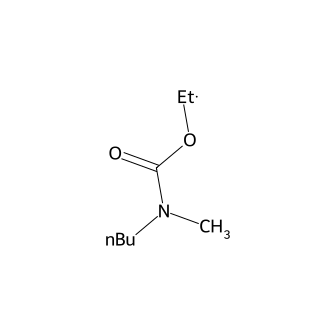 C[CH]OC(=O)N(C)CCCC